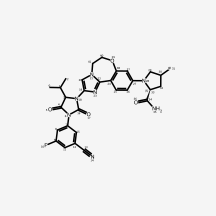 CC(C)C1C(=O)N(c2cc(F)cc(C#N)c2)C(=O)N1c1cn2c(n1)-c1ccc(N3CC(F)C[C@H]3C(N)=O)cc1OCC2